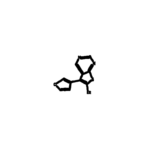 CCc1sc2ncncc2c1-c1ccoc1